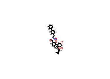 O=C1CC[C@@]2(O)[C@H]3Cc4ccc(C(=O)NCCc5ccc(-c6ccccc6)cc5)c(O)c4[C@@]2(CCC3CC2CC2)C1